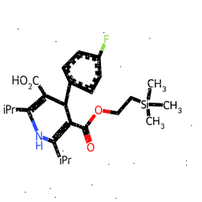 CC(C)C1=C(C(=O)O)C(c2ccc(F)cc2)C(C(=O)OCC[Si](C)(C)C)=C(C(C)C)N1